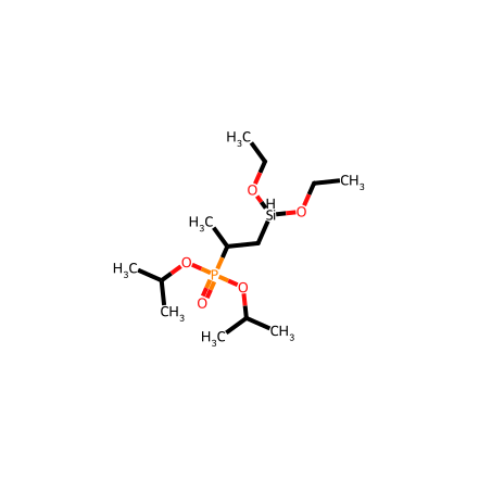 CCO[SiH](CC(C)P(=O)(OC(C)C)OC(C)C)OCC